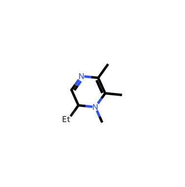 CCC1C=NC(C)=C(C)N1C